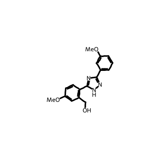 COc1cccc(-c2n[nH]c(-c3ccc(OC)cc3CO)n2)c1